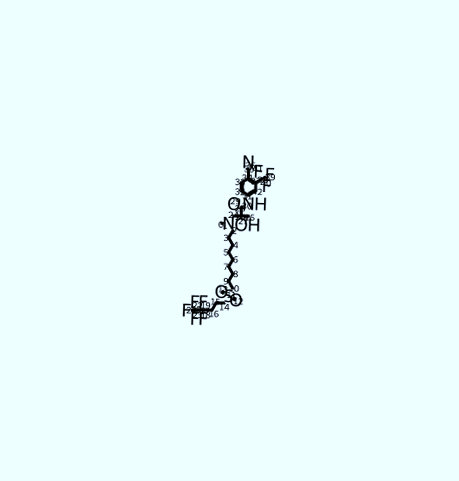 CN(CCCCCCCCCS(=O)(=O)CCCC(F)(F)C(F)(F)F)CC(C)(O)C(=O)Nc1ccc(C#N)c(C(F)(F)F)c1